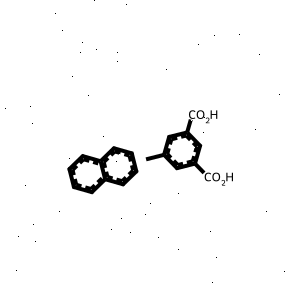 Cc1cc(C(=O)O)cc(C(=O)O)c1.c1ccc2ccccc2c1